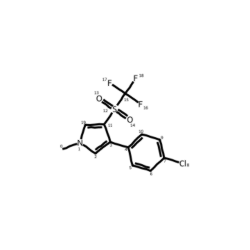 Cn1cc(-c2ccc(Cl)cc2)c(S(=O)(=O)C(F)(F)F)c1